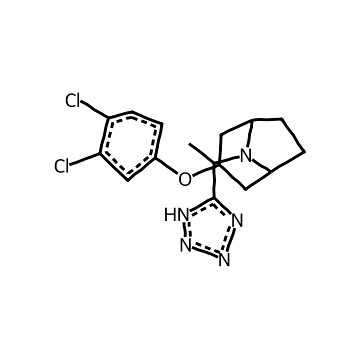 CC(c1nnn[nH]1)N1C2CCC1CC(Oc1ccc(Cl)c(Cl)c1)C2